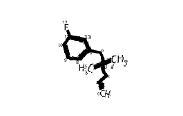 [CH]=CCC(C)(C)Cc1cccc(F)c1